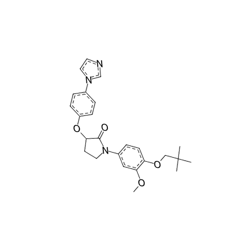 COc1cc(N2CCC(Oc3ccc(-n4ccnc4)cc3)C2=O)ccc1OCC(C)(C)C